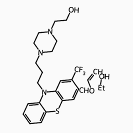 C=CC=O.CCO.OCCN1CCN(CCCN2c3ccccc3Sc3ccc(C(F)(F)F)cc32)CC1